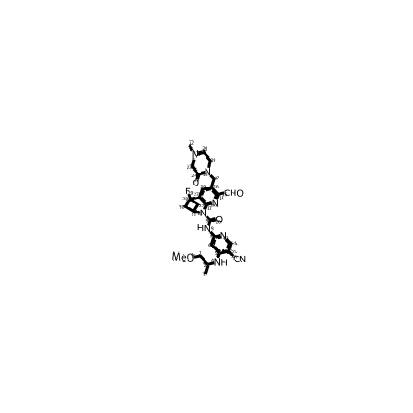 COCC(C)Nc1cc(NC(=O)N2c3nc(C=O)c(CN4CCN(C)CC4=O)cc3C3(F)CC2C3)ncc1C#N